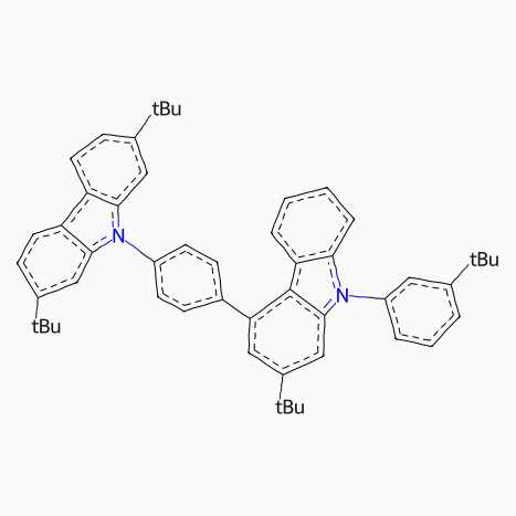 CC(C)(C)c1cccc(-n2c3ccccc3c3c(-c4ccc(-n5c6cc(C(C)(C)C)ccc6c6ccc(C(C)(C)C)cc65)cc4)cc(C(C)(C)C)cc32)c1